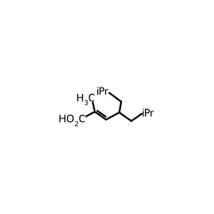 CC(=CC(CC(C)C)CC(C)C)C(=O)O